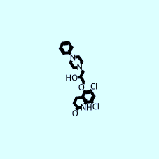 O=C1CCc2c(c(Cl)cc(Cl)c2OCC(O)CN2CCN(c3ccccc3)CC2)N1